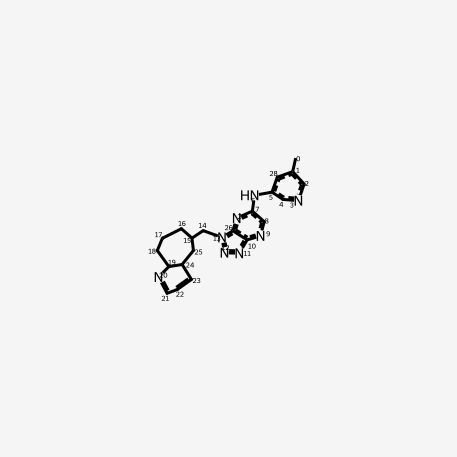 Cc1cncc(Nc2cnc3nnn(CC4CCCC5N=CC=CC5C4)c3n2)c1